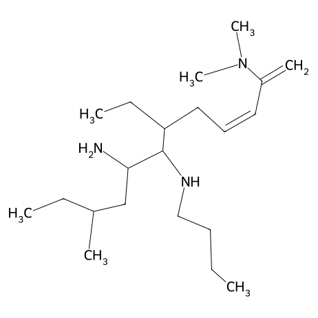 C=C(/C=C\CC(CC)C(NCCCC)C(N)CC(C)CC)N(C)C